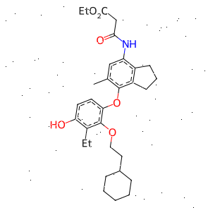 CCOC(=O)CC(=O)Nc1cc(C)c(Oc2ccc(O)c(CC)c2OCCC2CCCCC2)c2c1CCC2